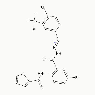 O=C(Nc1ccc(Br)cc1C(=O)N/N=C/c1ccc(Cl)c(C(F)(F)F)c1)c1cccs1